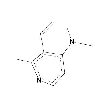 C=Cc1c(N(C)C)ccnc1C